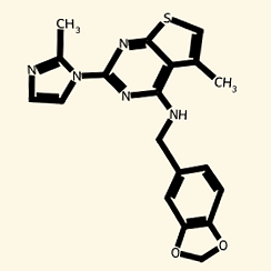 Cc1csc2nc(-n3ccnc3C)nc(NCc3ccc4c(c3)OCO4)c12